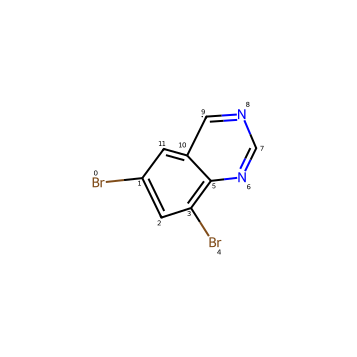 Brc1cc(Br)c2ncn[c]c2c1